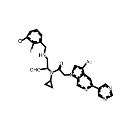 CC(=O)c1cn(CC(=O)N(C(C=O)CNCc2cccc(Cl)c2F)C2CC2)c2cnc(-c3cncnc3)cc12